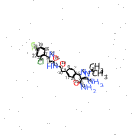 CC(C)n1nc(-c2ccc(CC(=O)Nc3cc(-c4ccc(F)cc4Cl)no3)cc2)c(C(N)=O)c1N